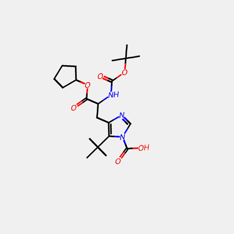 CC(C)(C)OC(=O)NC(Cc1ncn(C(=O)O)c1C(C)(C)C)C(=O)OC1CCCC1